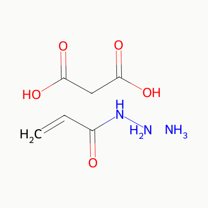 C=CC(=O)NN.N.O=C(O)CC(=O)O